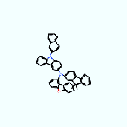 CC1(C)c2ccccc2-c2ccc(N(c3ccc4c(c3)c3ccccc3n4-c3ccc4ccccc4c3)c3cccc4oc5ccccc5c34)cc21